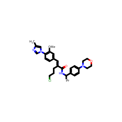 COc1cc(/C=C(\CCCCl)C(=O)NC(c2ccc(N3CCOCC3)cc2)C(C)C)ccc1-n1cnc(C)c1